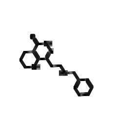 O=c1[nH]nc(CCNCc2ccccc2)c2c1CCCN2